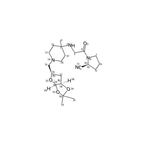 CC1(NCC(=O)N2CCC[C@H]2C#N)CCN(C[C@H]2C[C@H]3OC(C)(C)O[C@H]3O2)CC1